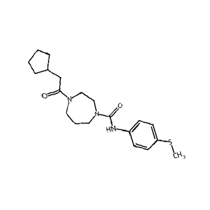 CSc1ccc(NC(=O)N2CCCN(C(=O)CC3CCCC3)CC2)cc1